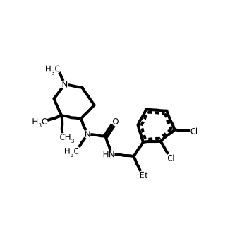 CCC(NC(=O)N(C)C1CCN(C)CC1(C)C)c1cccc(Cl)c1Cl